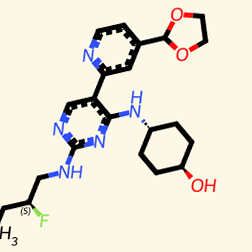 CC[C@H](F)CNc1ncc(-c2cc(C3OCCO3)ccn2)c(N[C@H]2CC[C@H](O)CC2)n1